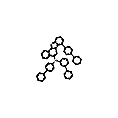 c1ccc(-c2ccc(-c3cccc4oc5c6ccccc6c(N(c6ccc(-c7ccccc7)cc6)c6cccc(-c7ccccc7)c6)cc5c34)cc2)cc1